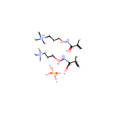 C=C(C)C(=O)NOCCC[N+](C)(C)C.C=C(C)C(=O)NOCCC[N+](C)(C)C.O=S(=O)([O-])[O-]